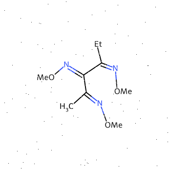 CCC(=NOC)C(=NOC)C(C)=NOC